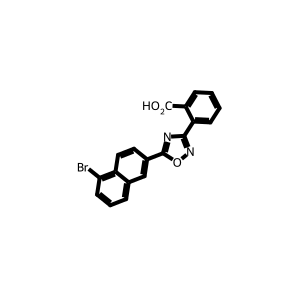 O=C(O)c1ccccc1-c1noc(-c2ccc3c(Br)cccc3c2)n1